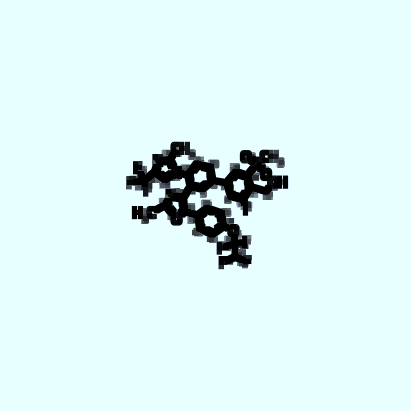 Cc1nc(-c2cc(-c3cc(F)c(CO)c(S(C)(=O)=O)c3)ccc2-n2cc(C(F)(F)F)nc2C)c(-c2ccc(OC(F)(F)C(F)F)cc2)o1